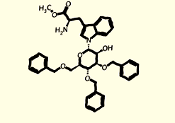 COC(=O)[C@H](N)Cc1cn([C@H]2O[C@H](COCc3ccccc3)[C@@H](OCc3ccccc3)[C@H](OCc3ccccc3)[C@@H]2O)c2ccccc12